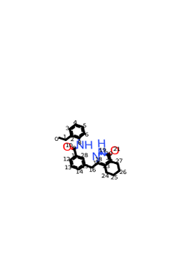 CCc1ccccc1NC(=O)c1cccc(Cc2n[nH]c(=O)c3c2CCCC3)c1